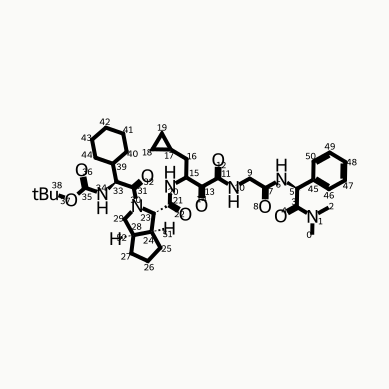 CN(C)C(=O)[C@@H](NC(=O)CNC(=O)C(=O)C(CC1CC1)NC(=O)[C@@H]1[C@H]2CCC[C@H]2CN1C(=O)[C@@H](NC(=O)OC(C)(C)C)C1CCCCC1)c1ccccc1